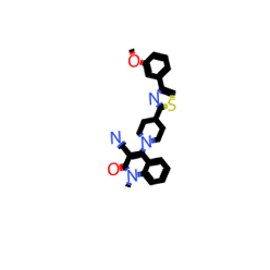 COc1cccc(-c2csc(C3CCN(c4c(C#N)c(=O)n(C)c5ccccc45)CC3)n2)c1